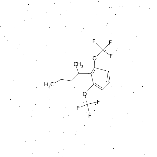 CCCC(C)c1c(OC(F)(F)F)cccc1OC(F)(F)F